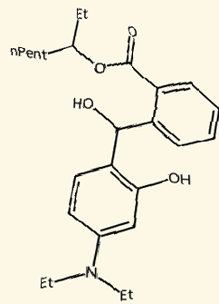 CCCCCC(CC)OC(=O)c1ccccc1C(O)c1ccc(N(CC)CC)cc1O